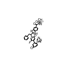 CS(=O)(=O)NC(=O)c1ccc2[nH]c(C(Cc3ccccc3)n3cc(F)c(-c4cc(Cl)ccc4-n4cnnn4)cc3=O)nc2c1